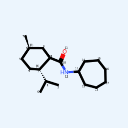 CC(C)[C@@H]1CC[C@@H](C)CC1C(=O)NC1CCCCCC1